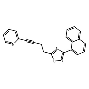 C(#Cc1ccccn1)CCc1nc(-c2cccc3ccccc23)no1